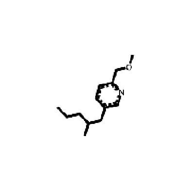 CCCC(C)Cc1ccc(COC)nc1